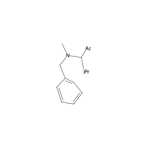 CC(=O)C(C(C)C)N(C)Cc1ccccc1